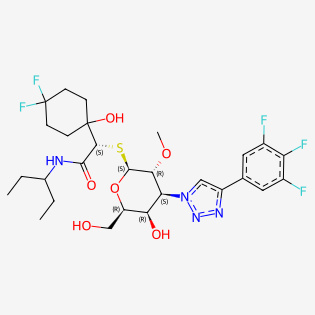 CCC(CC)NC(=O)[C@@H](S[C@@H]1O[C@H](CO)[C@H](O)[C@H](n2cc(-c3cc(F)c(F)c(F)c3)nn2)[C@H]1OC)C1(O)CCC(F)(F)CC1